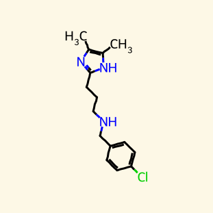 Cc1nc(CCCNCc2ccc(Cl)cc2)[nH]c1C